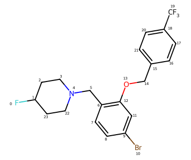 FC1CCN(Cc2ccc(Br)cc2OCc2ccc(C(F)(F)F)cc2)CC1